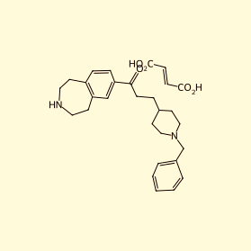 O=C(CCC1CCN(Cc2ccccc2)CC1)c1ccc2c(c1)CCNCC2.O=C(O)/C=C/C(=O)O